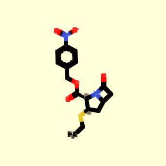 CCS[C@@H]1CC2CC(=O)N2[C@H]1C(=O)OCc1ccc([N+](=O)[O-])cc1